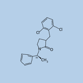 C[C@@H](c1ccccc1)N1CCC(Cc2c(Cl)cccc2Cl)C1=O